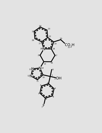 CC(O)(c1ccc(F)cc1)c1cnnn1C1CCc2c(CC(=O)O)c3ccccc3n2C1